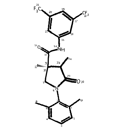 Cc1cccc(C)c1N1C[C@@](C)(C(=O)Nc2cc(C(F)(F)F)cc(C(F)(F)F)c2)C(C)C1=O